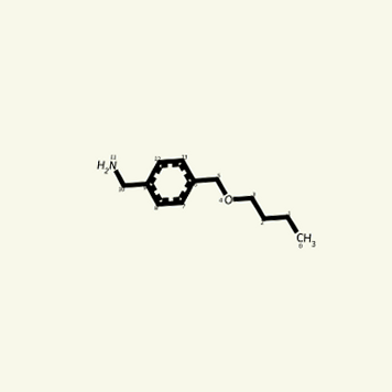 CCCCOCc1ccc(CN)cc1